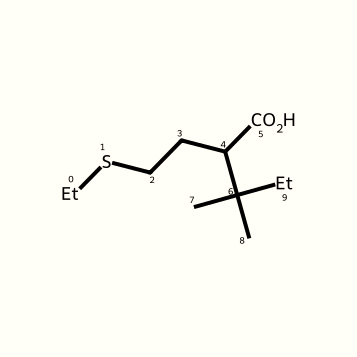 CCSCCC(C(=O)O)C(C)(C)CC